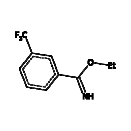 CCOC(=N)c1cccc(C(F)(F)F)c1